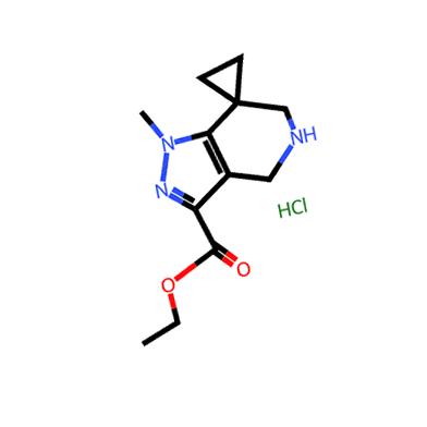 CCOC(=O)c1nn(C)c2c1CNCC21CC1.Cl